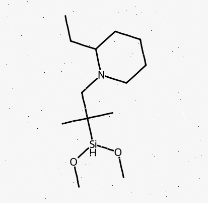 CCC1CCCCN1CC(C)(C)[SiH](OC)OC